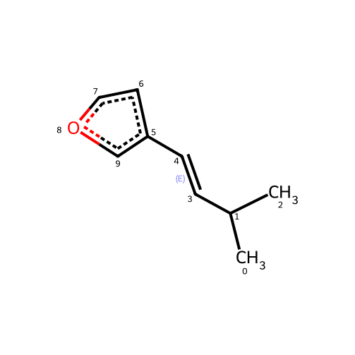 CC(C)/C=C/c1ccoc1